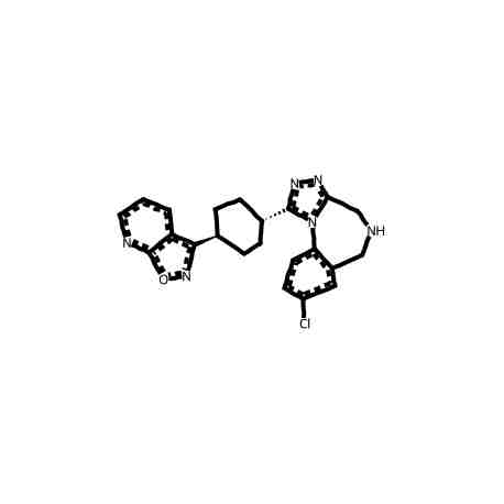 Clc1ccc2c(c1)CNCc1nnc([C@H]3CC[C@H](c4noc5ncccc54)CC3)n1-2